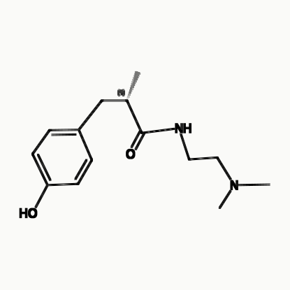 C[C@@H](Cc1ccc(O)cc1)C(=O)NCCN(C)C